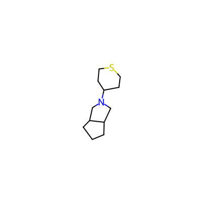 C1CC2CN(C3CCSCC3)CC2C1